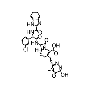 Cn1c(SCC2=C(C(=O)O)N3C(=O)C(NC(=O)C(NC(=O)c4nc5ccccc5[nH]4)c4cccc(Cl)c4)[C@@H]3SC2)nnc(O)c1=O